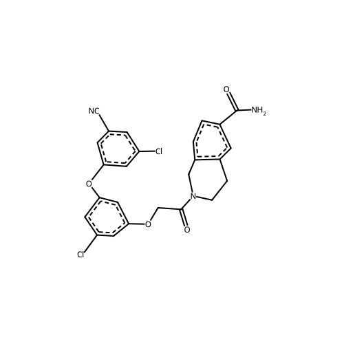 N#Cc1cc(Cl)cc(Oc2cc(Cl)cc(OCC(=O)N3CCc4cc(C(N)=O)ccc4C3)c2)c1